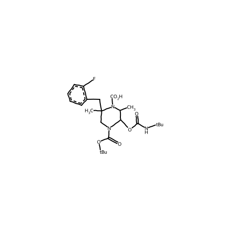 CC1C(OC(=O)NC(C)(C)C)N(C(=O)OC(C)(C)C)CC(C)(Cc2ccccc2F)N1C(=O)O